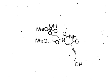 COC[C@H]1O[C@@H](n2cc(C#CCCO)c(=O)[nH]c2=O)C[C@H]1OP(=O)(O)OC